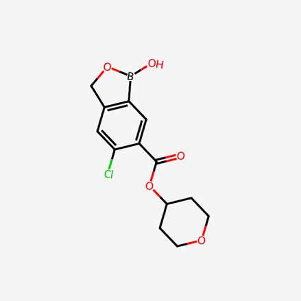 O=C(OC1CCOCC1)c1cc2c(cc1Cl)COB2O